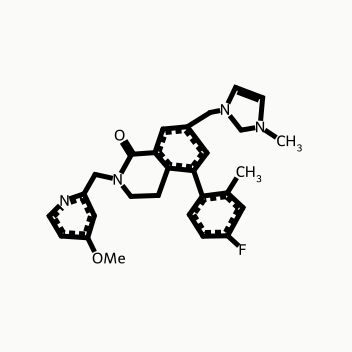 COc1ccnc(CN2CCc3c(cc(CN4C=CN(C)C4)cc3-c3ccc(F)cc3C)C2=O)c1